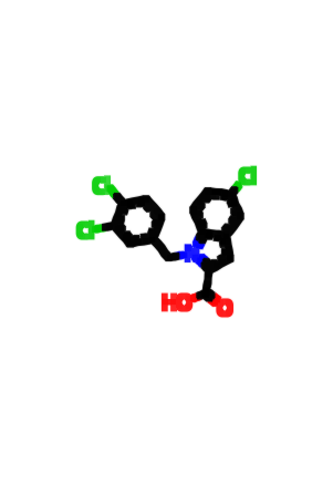 O=C(O)c1cc2cc(Cl)ccc2n1Cc1ccc(Cl)c(Cl)c1